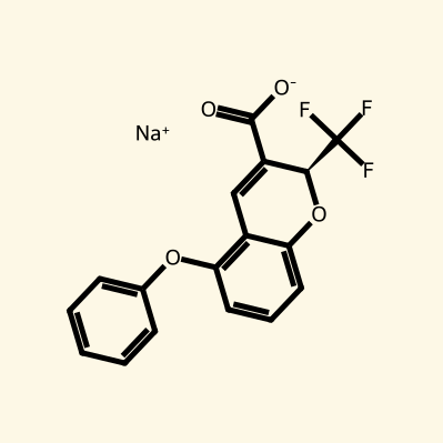 O=C([O-])C1=Cc2c(Oc3ccccc3)cccc2O[C@@H]1C(F)(F)F.[Na+]